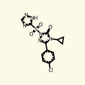 O=c1n(S(=O)(=O)c2ncn[nH]2)nc(-c2ccc(Cl)cc2)n1C1CC1